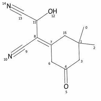 CC1(C)CC(=O)C/C(=C(\C#N)C(O)C#N)C1